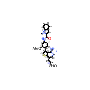 COc1cc(NC(=O)c2cc3ccccc3n2C)ccc1-c1csc2c(/C=C/C=O)cnc(N)c12